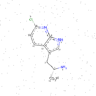 N[C@@H](Cc1c[nH]c2nc(Cl)ccc12)C(=O)O